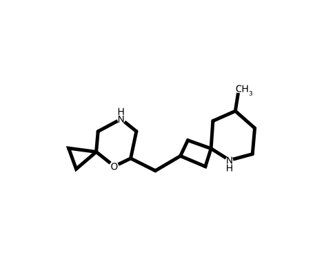 CC1CCNC2(C1)CC(CC1CNCC3(CC3)O1)C2